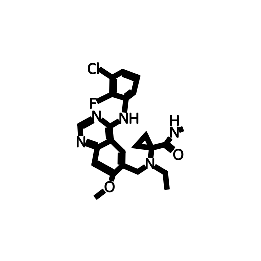 CCN(Cc1cc2c(Nc3cccc(Cl)c3F)ncnc2cc1OC)C1(C(=O)NC)CC1